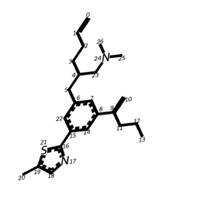 C=CCCC(Cc1cc(C(=C)CCC)cc(-c2ncc(C)s2)c1)CN(C)C